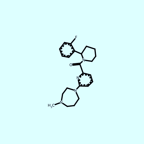 CN1CCCN(c2cccc(C(=O)N3CCCCC3c3ccccc3F)n2)CC1